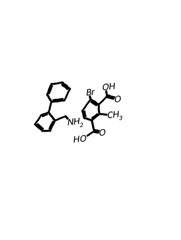 Cc1c(C(=O)O)ccc(Br)c1C(=O)O.NCc1ccccc1-c1ccccc1